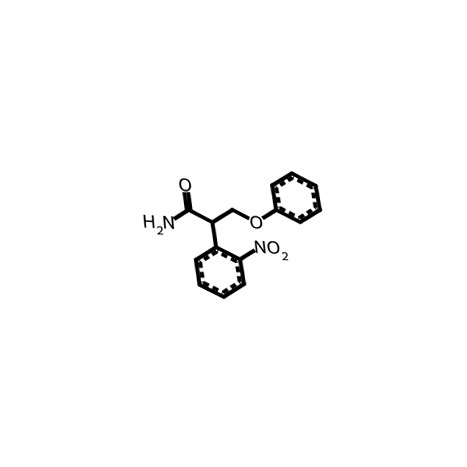 NC(=O)C(COc1ccccc1)c1ccccc1[N+](=O)[O-]